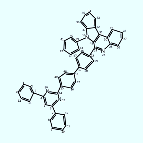 c1ccc(-c2cc(-c3ccccc3)nc(-c3ccc(-c4ccc(-c5nc6ccccc6c6c7ccccc7n(-c7ccccc7)c56)cc4)cc3)n2)cc1